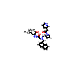 COC(=O)[C@H](CCSC)NC(=O)CN(Cc1cccc2ccccc12)C[C@@H]1CCCN1C(=O)Cc1cccnc1